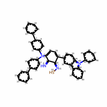 N=C1C(N(c2ccc(-c3ccccc3)cc2)c2ccc(-c3ccccc3)cc2)=CC=C(c2ccc3c(c2)c2ccccc2n3-c2ccccc2)/C1=N/S